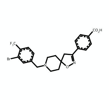 O=C(O)c1ccc(C2=NOC3(CCN(Cc4ccc(C(F)(F)F)c(Br)c4)CC3)C2)cc1